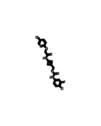 O=C(COc1ccc(Cl)cn1)NC12CC(COC(=O)Nc3ccc(Cl)c(F)c3)(C1)C2